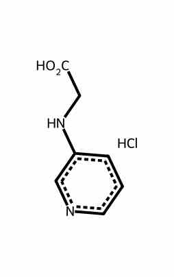 Cl.O=C(O)CNc1cccnc1